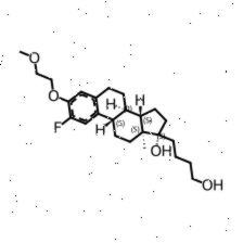 COCCOc1cc2c(cc1F)[C@H]1CC[C@@]3(C)[C@@H](CC[C@@]3(O)CCCCO)[C@@H]1CC2